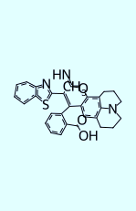 C/C(=C(/c1ccccc1C(=O)O)c1cc2c3c(c1OC=N)CCCN3CCC2)c1nc2ccccc2s1